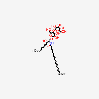 CCCCCCCCCCCCC/C=C/[C@@H](O)[C@H](CO[C@@H]1OC(CO)[C@@H](O[C@@H]2OC(CO)[C@@H](O)[C@H](O)C2O)[C@H](O)C1O)NC(=O)CCCCCCCCCCCCCCCCCCCCCCCCC